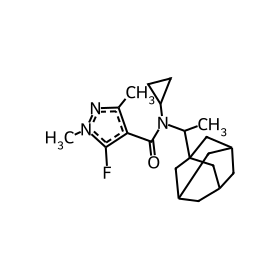 Cc1nn(C)c(F)c1C(=O)N(C1CC1)C(C)C12CC3CC(CC(C3)C1)C2